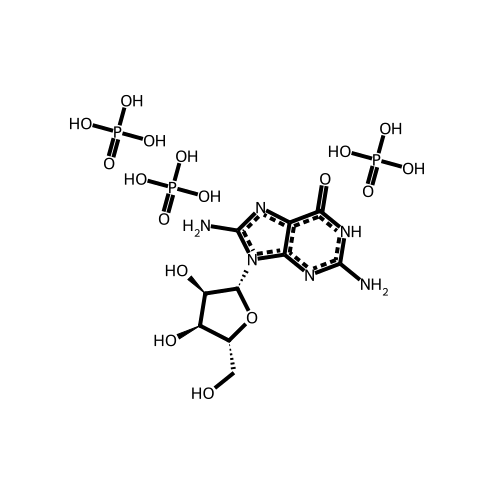 Nc1nc2c(nc(N)n2[C@@H]2O[C@H](CO)[C@@H](O)[C@H]2O)c(=O)[nH]1.O=P(O)(O)O.O=P(O)(O)O.O=P(O)(O)O